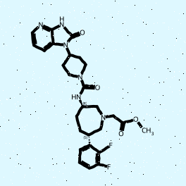 COC(=O)CN1C[C@H](NC(=O)N2CCC(n3c(=O)[nH]c4ncccc43)CC2)CC[C@@H](c2cccc(F)c2F)C1